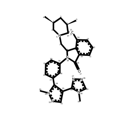 C[C@@H]1C[C@H](C)CN(CC2c3c(cccc3C(F)(F)F)C(=O)N2c2cccc(-c3c(-c4nncn4C)cnn3C)c2)C1